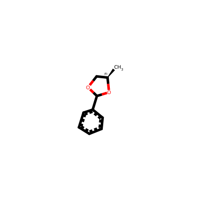 C[C@@H]1COC(c2ccccc2)O1